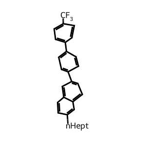 CCCCCCCc1ccc2cc(-c3ccc(-c4ccc(C(F)(F)F)cc4)cc3)ccc2c1